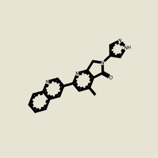 Cc1cc(-c2cnc3ccccc3c2)nc2c1C(=O)N(c1cn[nH]c1)C2